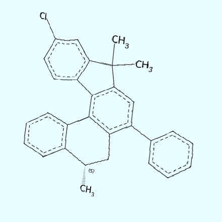 C[C@H]1Cc2c(-c3ccccc3)cc3c(c2-c2ccccc21)-c1ccc(Cl)cc1C3(C)C